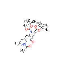 CCC(CNC(C)=O)C[C@@H]1[C@H](C=O)C[C@H](C(=O)OC(C)(C)C)N1C(=O)OC(C)(C)C